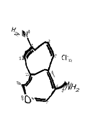 Nc1ccc2c(N)c[o+]cc2c1.[Cl-]